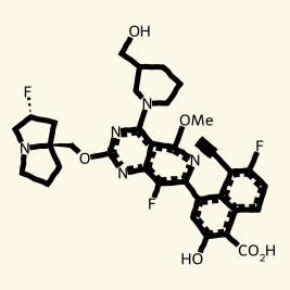 C#Cc1c(F)ccc2c(C(=O)O)c(O)cc(-c3nc(OC)c4c(N5CCCC(CO)C5)nc(OC[C@@]56CCCN5C[C@H](F)C6)nc4c3F)c12